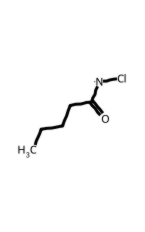 CCCCC(=O)[N]Cl